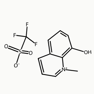 C[n+]1cccc2cccc(O)c21.O=S(=O)([O-])C(F)(F)F